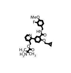 COc1ccc(CNC(=O)c2cc(-c3ncccc3COC(=O)C(C)(C)N)ccc2OCC2CC2)cc1F